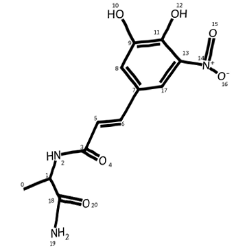 CC(NC(=O)/C=C/c1cc(O)c(O)c([N+](=O)[O-])c1)C(N)=O